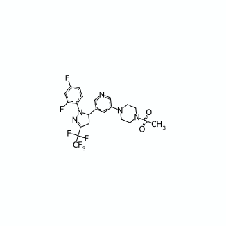 CS(=O)(=O)N1CCN(c2cncc(C3CC(C(F)(F)C(F)(F)F)=NN3c3ccc(F)cc3F)c2)CC1